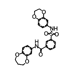 O=C(Nc1ccc2c(c1)OCCCO2)c1cccc(S(=O)(=O)Nc2ccc3c(c2)OCCO3)c1